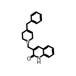 O=c1[nH]c2ccccc2cc1CN1CC=C(Cc2ccccc2)CC1